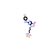 CS(=O)(=O)NCCCCNc1nc(Nc2ccc(Cl)cc2)ncc1[N+](=O)[O-]